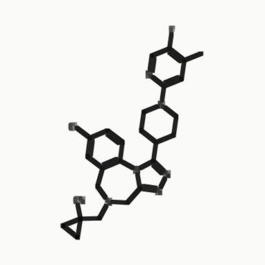 Cc1cc(N2CCC(c3nnc4n3-c3ccc(Cl)cc3CN(CC3(C#N)CC3)C4)CC2)ncc1F